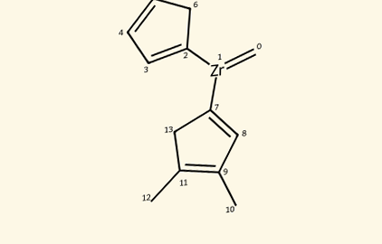 [CH2]=[Zr]([C]1=CC=CC1)[C]1=CC(C)=C(C)C1